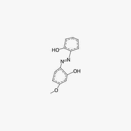 COc1ccc(N=Nc2ccccc2O)c(O)c1